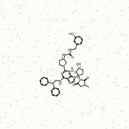 CN1CC(=O)N([C@]2(n3cnc4c(NCC(c5ccccc5)c5ccccc5)nc(N5CC[C@@H](NC(=O)NCc6cccc(O)c6)C5)nc43)CC[C@@H](O)[C@H]2O)C1=O